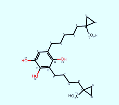 O=C(O)C1(CCCCCc2cc(O)c(O)c(CCCCC3(C(=O)O)CC3)c2O)CC1